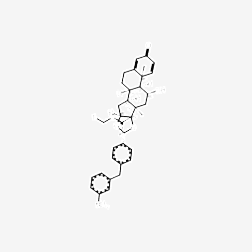 C[C@]12C=CC(=O)C=C1CC[C@@H]1[C@@H]2[C@@H](O)C[C@@]2(C)[C@H]1C[C@H]1O[C@@H](c3ccc(Cc4cccc(N)c4)cc3)O[C@]12C(=O)SCF